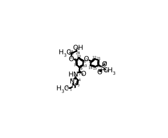 CCn1ccc(NC(=O)c2cc(Oc3ccc(S(C)(=O)=O)cc3)cc(O[C@@H](C)CO)c2)n1